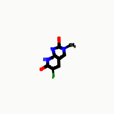 Cn1cc2cc(F)c(=O)[nH]c2nc1=O